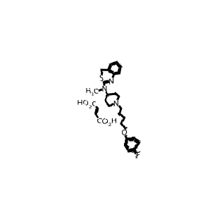 CN(C1=Nc2ccccc2CS1)C1CCN(CCCCCOc2ccc(F)cc2)CC1.O=C(O)C=CC(=O)O